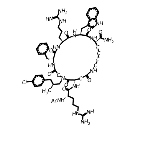 CC(=O)N[C@@H](CCCNC(=N)N)C(=O)N[C@H]1CC(=O)NCCCC[C@@H](C(N)=O)NC(=O)[C@H](Cc2c[nH]c3ccccc23)NC(=O)[C@H](CCCNC(=N)N)NC(=O)[C@@H](Cc2ccccc2)NC(=O)CN(C[C@@H](C)Cc2ccc(Cl)cc2)C1=O